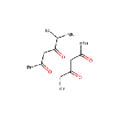 CCCCC(=O)CC(=O)CC(C)C.CCCCC(CC)C(=O)CC(=O)C(C)C